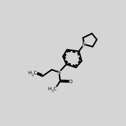 C=CCN(C(C)=O)c1ccc(N2CCCC2)cc1